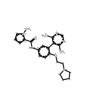 Cc1ncnc(C)c1-c1cc(NC(=O)c2cccn2C)ccc1OCCN1CCCC1